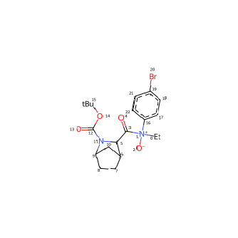 CC[N+]([O-])(C(=O)C1C2CCC(C2)N1C(=O)OC(C)(C)C)c1ccc(Br)cc1